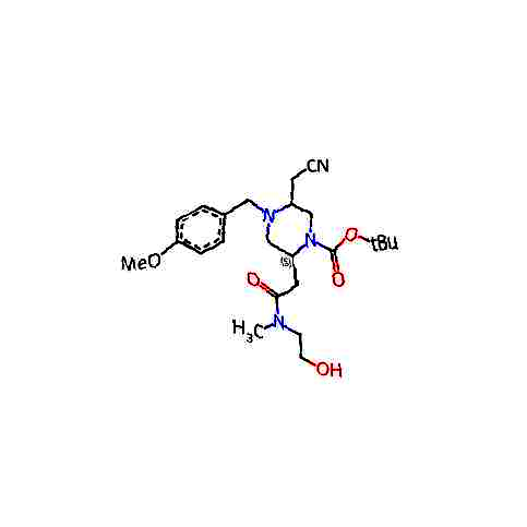 COc1ccc(CN2C[C@H](CC(=O)N(C)CCO)N(C(=O)OC(C)(C)C)CC2CC#N)cc1